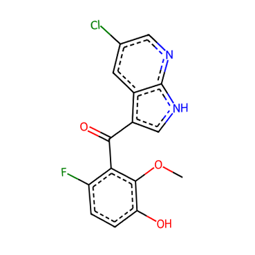 COc1c(O)ccc(F)c1C(=O)c1c[nH]c2ncc(Cl)cc12